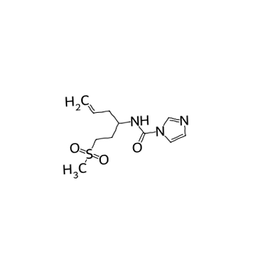 C=CCC(CCS(C)(=O)=O)NC(=O)n1ccnc1